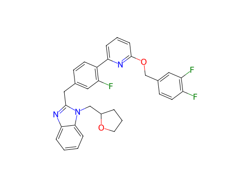 Fc1ccc(COc2cccc(-c3ccc(Cc4nc5ccccc5n4CC4CCCO4)cc3F)n2)cc1F